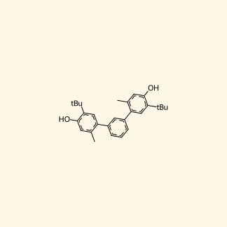 Cc1cc(O)c(C(C)(C)C)cc1-c1cccc(-c2cc(C(C)(C)C)c(O)cc2C)c1